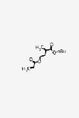 C=CC(=O)OCCC(=C)C(=O)OCCCC